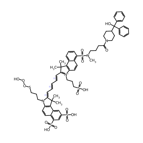 CN(CCCC(=O)N1CCC(C(O)(c2ccccc2)c2ccccc2)CC1)S(=O)(=O)c1cccc2c3c(ccc12)[N+](CCCS(=O)(=O)O)=C(/C=C/C=C/C=C1/N(CCCSOOO)c2ccc4c(S(=O)(=O)O)cc(S(=O)(=O)O)cc4c2C1(C)C)C3(C)C